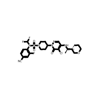 C[C@@H](Nc1cnn(C2CCN(S(=O)(=O)N(c3ccc(C#N)cc3F)C(F)F)CC2)c(=O)c1Cl)[C@@H]1CCCOC1